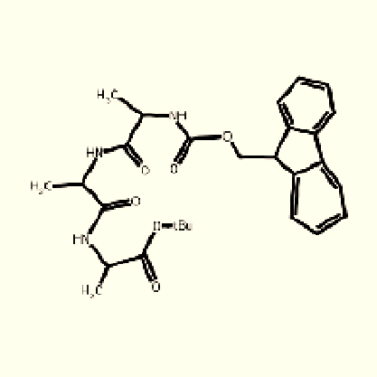 CC(NC(=O)OCC1c2ccccc2-c2ccccc21)C(=O)NC(C)C(=O)NC(C)C(=O)OC(C)(C)C